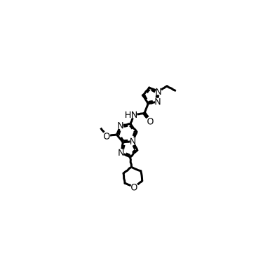 CCn1ccc(C(=O)Nc2cn3cc(C4CCOCC4)nc3c(OC)n2)n1